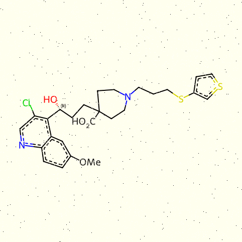 COc1ccc2ncc(Cl)c([C@H](O)CCC3(C(=O)O)CCN(CCCSc4ccsc4)CC3)c2c1